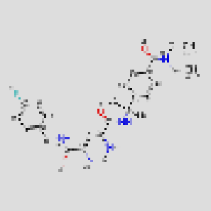 [2H]C([2H])(NC(=O)c1cc(C(=O)NCc2ccc(F)cc2)ncn1)c1ccc(C(=O)N(CC)CC)cc1